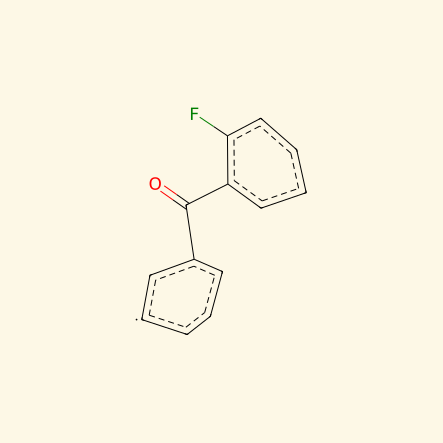 O=C(c1c[c]ccc1)c1ccccc1F